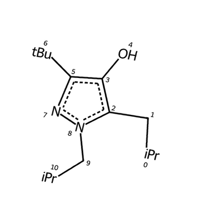 CC(C)Cc1c(O)c(C(C)(C)C)nn1CC(C)C